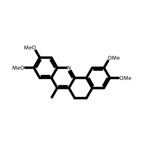 COc1cc2c(cc1OC)-c1nc3cc(OC)c(OC)cc3c(C)c1CC2